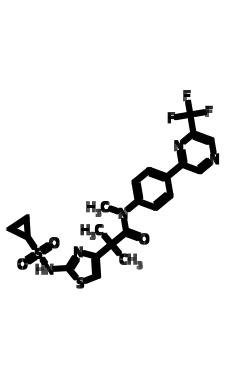 CN(C(=O)C(C)(C)c1csc(NS(=O)(=O)C2CC2)n1)c1ccc(-c2cncc(C(F)(F)F)n2)cc1